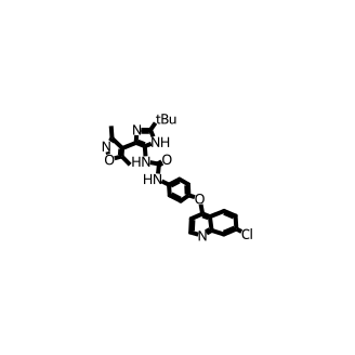 Cc1noc(C)c1-c1nc(C(C)(C)C)[nH]c1NC(=O)Nc1ccc(Oc2ccnc3cc(Cl)ccc23)cc1